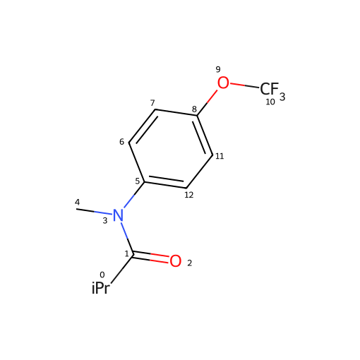 CC(C)C(=O)N(C)c1ccc(OC(F)(F)F)cc1